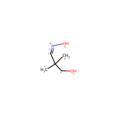 CC(C)(/C=N\O)CO